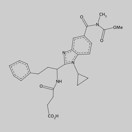 COC(=O)N(C)C(=O)c1ccc2c(c1)nc(C(CCc1ccccc1)NC(=O)CCC(=O)O)n2C1CC1